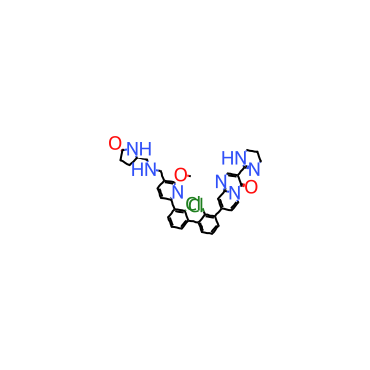 COc1nc(-c2cccc(-c3cccc(-c4ccn5c(=O)c(C6=NCCCN6)cnc5c4)c3Cl)c2Cl)ccc1CNC[C@H]1CCC(=O)N1